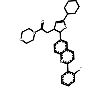 O=C(CC1C=C(C2CCCCC2)SC1c1ccc2nc(-c3ccccc3F)ccc2c1)N1CCOCC1